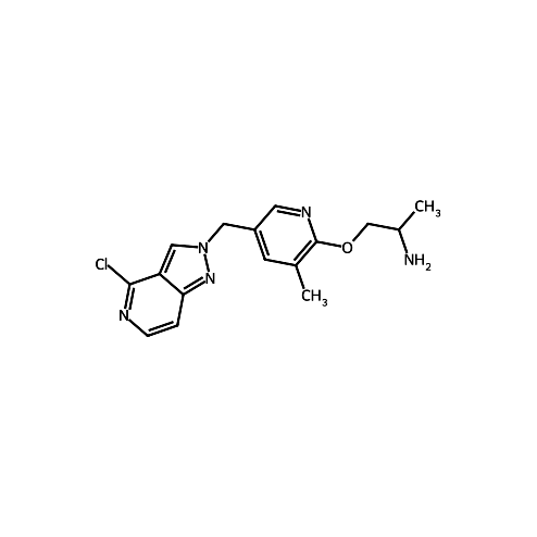 Cc1cc(Cn2cc3c(Cl)nccc3n2)cnc1OCC(C)N